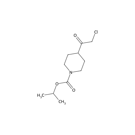 CC(C)OC(=O)N1CCC(C(=O)CCl)CC1